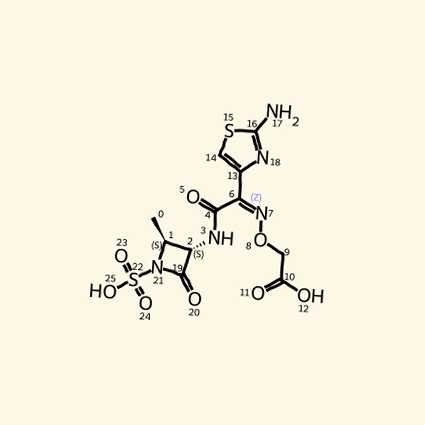 C[C@H]1[C@H](NC(=O)/C(=N\OCC(=O)O)c2csc(N)n2)C(=O)N1S(=O)(=O)O